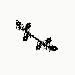 Cc1ccc(S(=O)(=O)N=CCN(CCN(CCCCCCCCCN(CCN(CCNS(=O)(=O)c2ccc(C)cc2)S(=O)(=O)c2ccc(C)cc2)S(=O)(=O)c2ccc(C)cc2)S(=O)(=O)c2ccc(C)cc2)S(=O)(=O)c2ccc(C)cc2)cc1